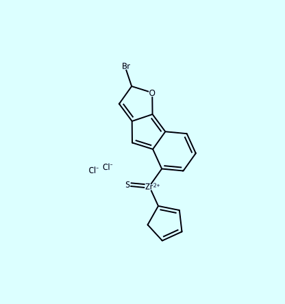 [Cl-].[Cl-].[S]=[Zr+2]([C]1=CC=CC1)[c]1cccc2c1=CC1=CC(Br)OC=21